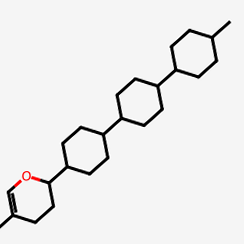 CC1=COC(C2CCC(C3CCC(C4CCC(C)CC4)CC3)CC2)CC1